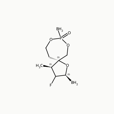 B[C@@H]1O[C@@]2(CCOP(B)(=O)OC2)[C@H](C)C1F